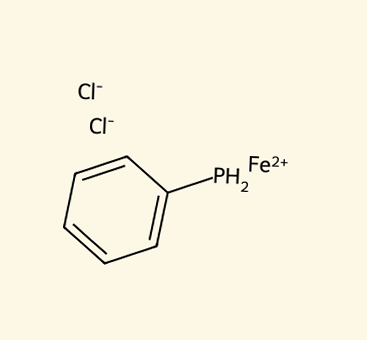 Pc1ccccc1.[Cl-].[Cl-].[Fe+2]